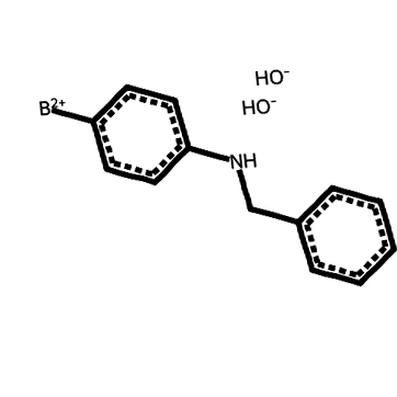 [B+2]c1ccc(NCc2ccccc2)cc1.[OH-].[OH-]